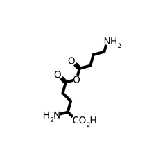 NCCCC(=O)OC(=O)CCC(N)C(=O)O